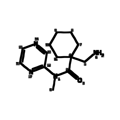 CN(C(=O)C1(CN)CCCCC1)c1cnccn1